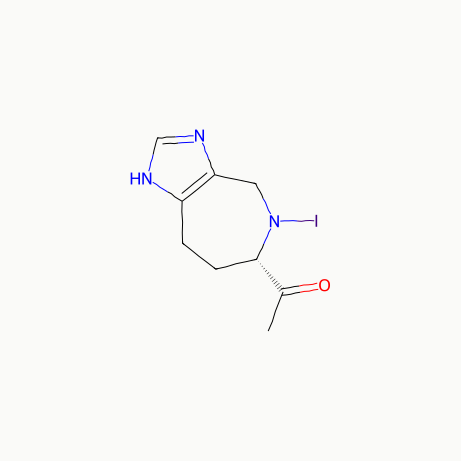 CC(=O)[C@@H]1CCc2[nH]cnc2CN1I